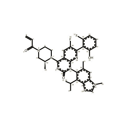 C=CC(=O)N1CCN(c2nc(=O)n(-c3c(C)cc4c(ncn4C)c3C(C)C)c3nc(-c4c(O)cccc4F)c(F)cc23)[C@@H](C)C1